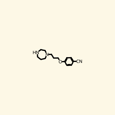 N#Cc1ccc(OCCCN2CCCNCC2)cc1